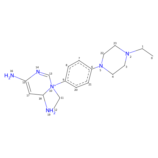 CCN1CCN(c2ccc([N+]3(CC)C=NC(N)=CC3N)cc2)CC1